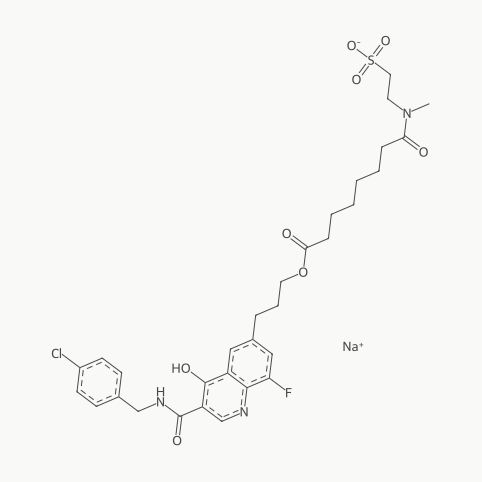 CN(CCS(=O)(=O)[O-])C(=O)CCCCCCC(=O)OCCCc1cc(F)c2ncc(C(=O)NCc3ccc(Cl)cc3)c(O)c2c1.[Na+]